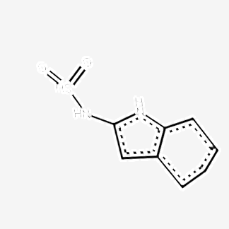 O=[SH](=O)Nc1cc2ccccc2[nH]1